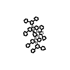 c1ccc(-c2cc(-c3ccccc3)cc(N3c4ccc(-c5ccccc5)cc4B4c5ccc6c7c5N(c5cccc3c54)c3c(-c4ccccc4)sc(-c4ccccc4)c3N7c3cccc4c3B6c3ccc(-c5ccccc5)cc3N4c3cc(-c4ccccc4)cc(-c4ccccc4)c3)c2)cc1